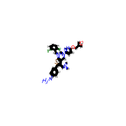 CN(C)Cc1c(-c2ccc(N)cc2)sc2c1CN(c1ccc(OCC3COC3)nn1)CN2Cc1c(F)cccc1F